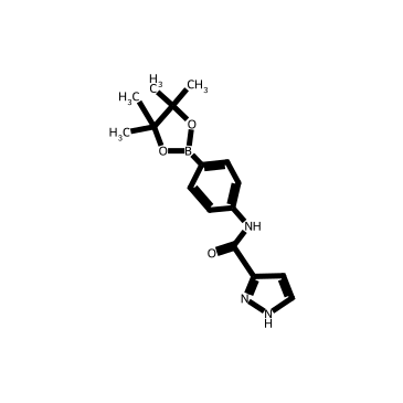 CC1(C)OB(c2ccc(NC(=O)c3cc[nH]n3)cc2)OC1(C)C